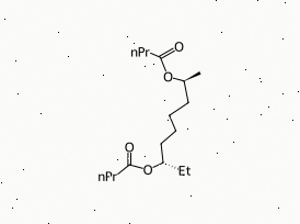 CCCC(=O)O[C@@H](CC)CCCC[C@H](C)OC(=O)CCC